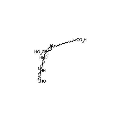 O=[C]COCCOCCNC(=O)COCCOCCNC(=O)CC[C@H](NC(=O)C1CCN(C(=O)CCCCCCCCCCCCCCCCCCC(=O)O)CC1)C(=O)O